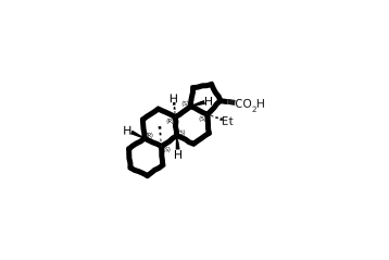 CC[C@]12CC[C@H]3[C@@H](CC[C@H]4CCCC[C@@]43C)[C@@H]1CCC2C(=O)O